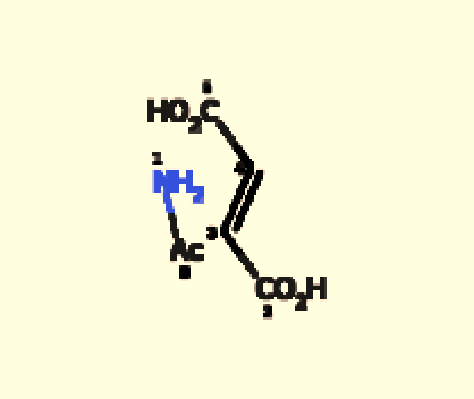 CC(N)=O.O=C(O)C=CC(=O)O